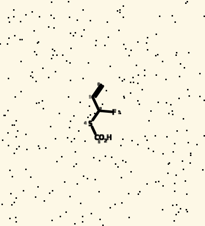 C=CC(F)SC(=O)O